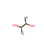 CCC[C@@H](O)[C@H](O)CC